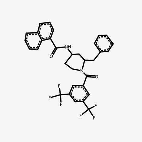 O=C(NC1CCN(C(=O)c2cc(C(F)(F)F)cc(C(F)(F)F)c2)C(Cc2ccccc2)C1)c1cccc2ccccc12